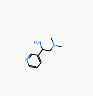 CN(C)CC(N)c1cccnc1